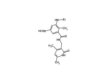 C#Cc1cc(NCC)c(C)c(C(=O)NCc2c(C)cc(C)[nH]c2=O)c1